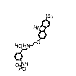 CC(C)(C)c1ccc2c(c1)[nH]c1cc(OCCNCC(O)c3cccc(NS(C)(=O)=O)c3)ccc12